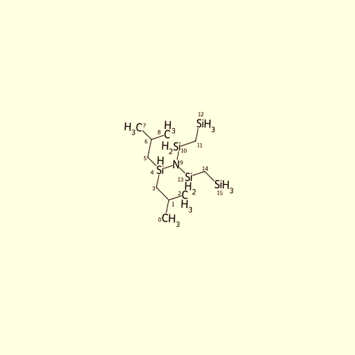 CC(C)C[SiH](CC(C)C)N([SiH2]C[SiH3])[SiH2]C[SiH3]